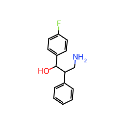 NCC(c1ccccc1)C(O)c1ccc(F)cc1